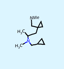 CNCC1(CC(C)N(C)CC2CC2)CC1